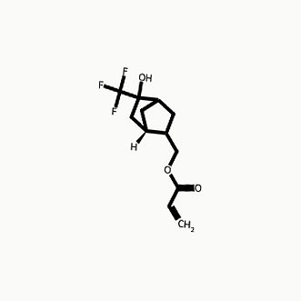 C=CC(=O)OCC1CC2C[C@H]1CC2(O)C(F)(F)F